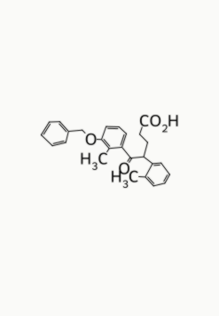 Cc1ccccc1C(CCC(=O)O)C(=O)c1cccc(OCc2ccccc2)c1C